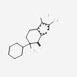 CCOC(=O)c1c(N)sc2c1CCC(C#N)(C1CCCCC1)C2=O